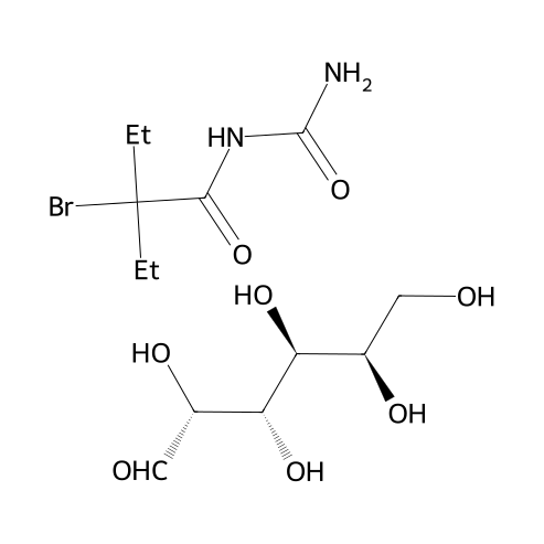 CCC(Br)(CC)C(=O)NC(N)=O.O=C[C@H](O)[C@@H](O)[C@@H](O)[C@H](O)CO